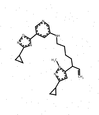 C=CC(CCCCNc1cncc(-c2nc(C3CC3)no2)c1)c1cc(C2CC2)nn1C